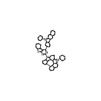 c1ccc(-n2c3cc(-c4nc(-n5c6cccc7c6c6c8c9c%10c-7cccc%10ccc9n(-c7ccccc7)c8ccc65)nc5sc6ccccc6c45)ccc3c3cc4ccccc4cc32)cc1